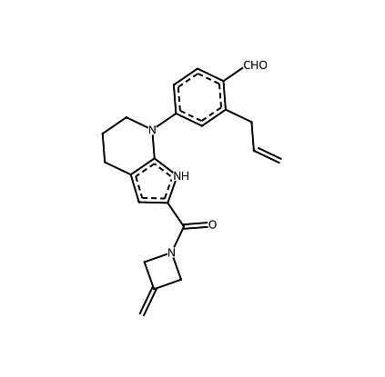 C=CCc1cc(N2CCCc3cc(C(=O)N4CC(=C)C4)[nH]c32)ccc1C=O